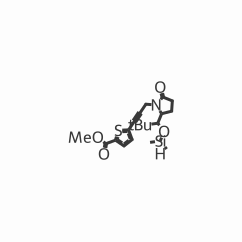 COC(=O)c1ccc(C#CCN2C(=O)CCC2C(O[SiH](C)C)C(C)(C)C)s1